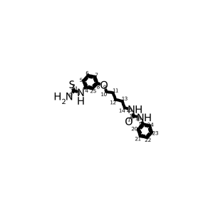 NC(=S)Nc1cccc(OCCCCCNC(=O)Nc2ccccc2)c1